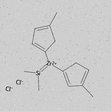 CC1=CC[C]([Zr+2]([C]2=CC=C(C)C2)=[Si](C)C)=C1.[Cl-].[Cl-]